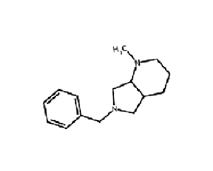 CN1CCCC2CN(Cc3ccccc3)CC21